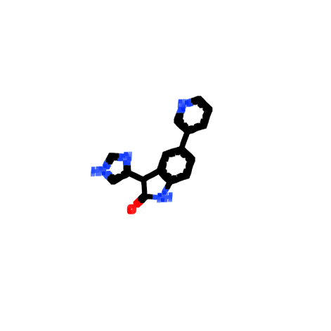 O=C1Nc2ccc(-c3cccnc3)cc2C1c1c[nH]cn1